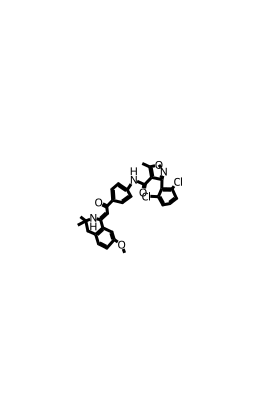 COc1ccc2c(c1)C(=CC(=O)c1ccc(NC(=O)c3c(-c4c(Cl)cccc4Cl)noc3C)cc1)NC(C)(C)C2